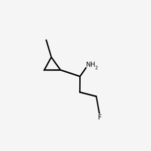 CC1CC1C(N)CCF